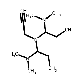 C#CCN(C(CC)N(C)C)C(CC)N(C)C